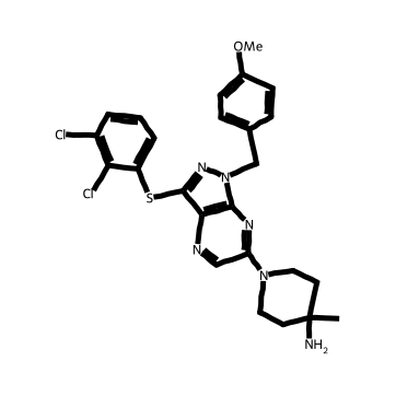 COc1ccc(Cn2nc(Sc3cccc(Cl)c3Cl)c3ncc(N4CCC(C)(N)CC4)nc32)cc1